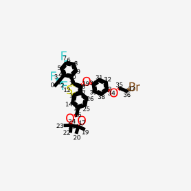 CC(F)(F)c1cc(F)ccc1-c1sc2cc(C3OC(C)(C)C(C)(C)O3)ccc2c1Oc1ccc(OCCBr)cc1